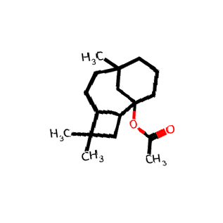 CC(=O)OC12CCCC(C)(CCC3C1CC3(C)C)C2